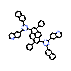 c1ccc(-c2cc(-c3nc(-c4ccc5ccccc5c4)nc(-c4ccc5ncccc5c4)n3)c3ccc4c(-c5ccccc5)cc(-c5nc(-c6ccc7ccccc7c6)nc(-c6ccc7ncccc7c6)n5)c5ccc2c3c45)cc1